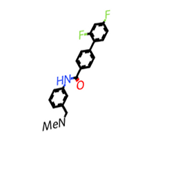 CNCc1cccc(NC(=O)c2ccc(-c3ccc(F)cc3F)cc2)c1